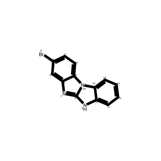 Brc1ccc2c(c1)nc1[nH]c3ccccc3n12